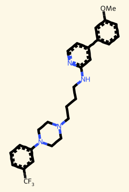 COc1cccc(-c2ccnc(NCCCCN3CCN(c4cccc(C(F)(F)F)c4)CC3)c2)c1